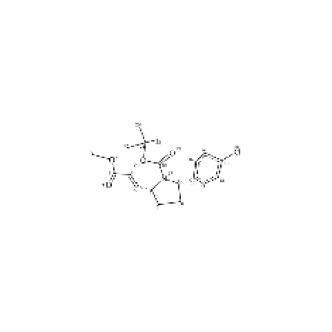 COC(=O)C=C[C@H]1CC[C@@H](c2ccc(Cl)cc2)N1C(=O)OC(C)(C)C